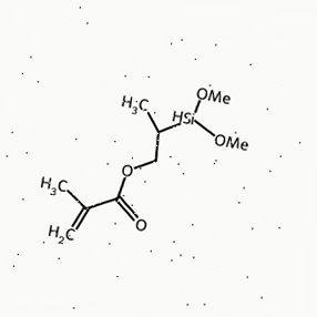 C=C(C)C(=O)OCC(C)[SiH](OC)OC